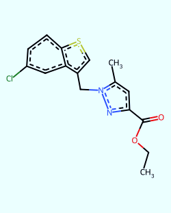 CCOC(=O)c1cc(C)n(Cc2csc3ccc(Cl)cc23)n1